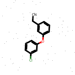 N#CCc1cccc(Oc2cccc(Cl)c2)c1